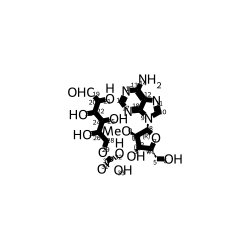 CO[C@@H]1[C@H](O)[C@@H](CO)O[C@H]1n1cnc2c(N)ncnc21.O=CC(O)C(O)C(O)C(O)COP(=O)(O)O